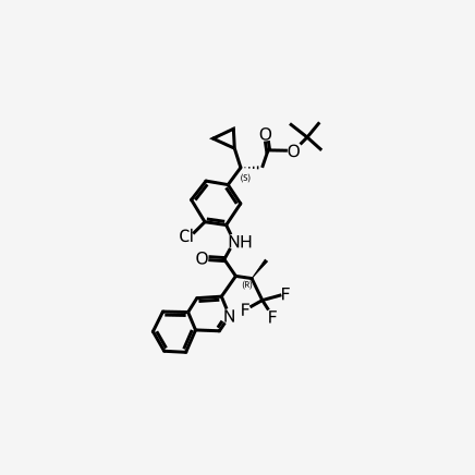 C[C@H](C(C(=O)Nc1cc([C@@H](CC(=O)OC(C)(C)C)C2CC2)ccc1Cl)c1cc2ccccc2cn1)C(F)(F)F